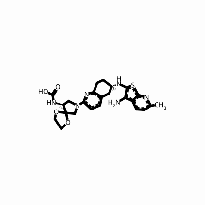 Cc1ccc2c(N)c(N[C@H]3CCc4nc(N5C[C@H](NC(=O)O)C6(C5)OCCO6)ccc4C3)sc2n1